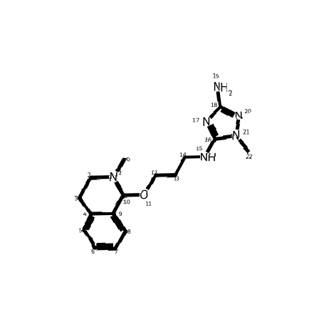 CN1CCc2ccccc2C1OCCCNc1nc(N)nn1C